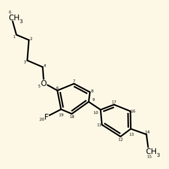 CCCCCOc1ccc(-c2ccc(CC)cc2)cc1F